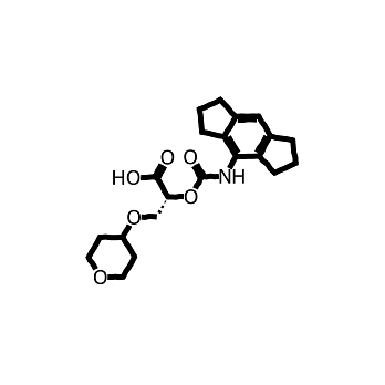 O=C(Nc1c2c(cc3c1CCC3)CCC2)O[C@H](COC1CCOCC1)C(=O)O